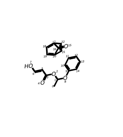 CC(OC(=O)C=CO)Oc1ccccc1.O=C1C2=CC=C1C=C2